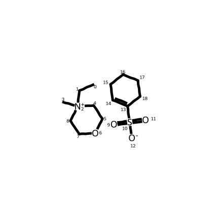 CC[N+]1(C)CCOCC1.O=S(=O)([O-])C1=CCCCC1